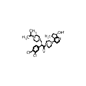 CC(C)N1CCN(C[C@@H](C(=O)N2CCN(c3ccnc4c3[C@H](C)C[C@H]4O)CC2)c2ccc(Cl)c(Cl)c2)CC1